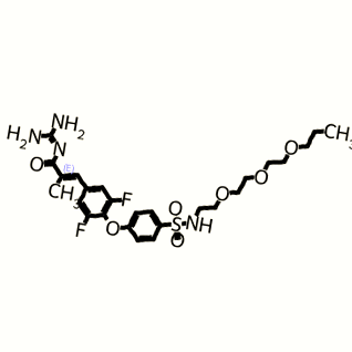 CCCOCCOCCOCCNS(=O)(=O)c1ccc(Oc2c(F)cc(/C=C(\C)C(=O)N=C(N)N)cc2F)cc1